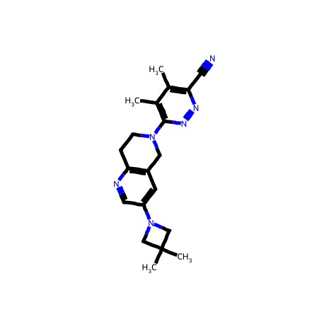 Cc1c(C#N)nnc(N2CCc3ncc(N4CC(C)(C)C4)cc3C2)c1C